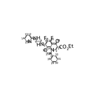 CCOC(=O)c1cn2c3c(c(NCCNc4ccccn4)c(F)c(F)c3c1=O)OC[C@H]2c1ccccc1